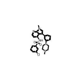 CN1CCN(c2cccc(-c3cn(C)c4nccc(NS(=O)(=O)c5cccc(Cl)c5)c34)c2)CC1